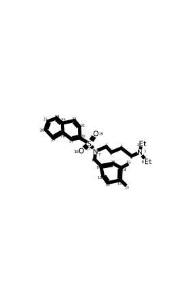 CCN(CC)CCCCN(Cc1ccc(C)c(C)c1)S(=O)(=O)c1ccc2ccccc2c1